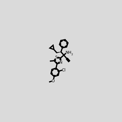 C#CC(N)(c1nc(-c2ccc(OC)cc2Cl)c(C)s1)[C@@H](CC1CC1)c1ccccc1